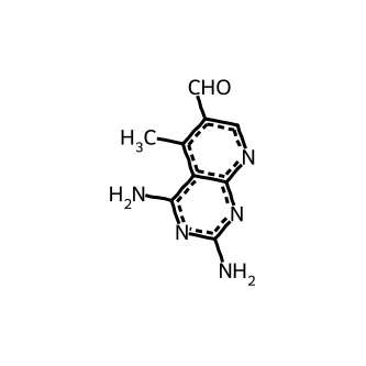 Cc1c(C=O)cnc2nc(N)nc(N)c12